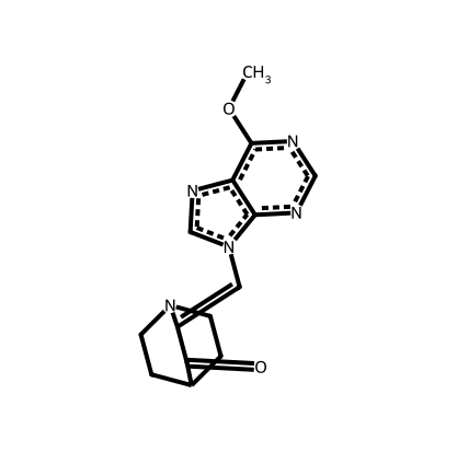 COc1ncnc2c1ncn2C=C1C(=O)C2CCN1CC2